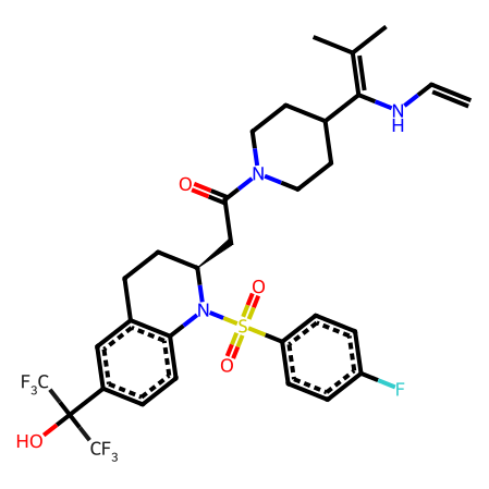 C=CNC(=C(C)C)C1CCN(C(=O)C[C@@H]2CCc3cc(C(O)(C(F)(F)F)C(F)(F)F)ccc3N2S(=O)(=O)c2ccc(F)cc2)CC1